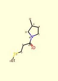 CCSCCC(=O)N1CCC(C)C1